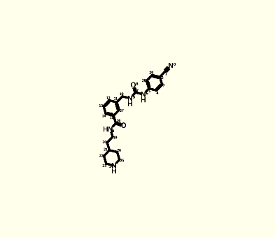 N#Cc1ccc(NC(=O)NCc2cccc(C(=O)NCCC3CCNCC3)c2)cc1